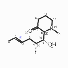 C/C=C/C[C@@H](C)[C@@H](O)[C@H]1C(=O)CCCN1C